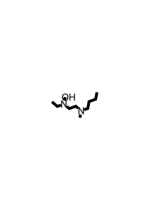 CCCCN(C)CCN(O)CC